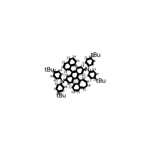 CC(C)(C)c1ccc(N(c2ccc(C(C)(C)C)cc2)c2ccc3c(-c4cccc5ccccc45)c4cc(N(c5ccc(C(C)(C)C)cc5)c5ccc(C(C)(C)C)cc5)ccc4c(C4=c5ccccc5=CCC=C4)c3c2)cc1